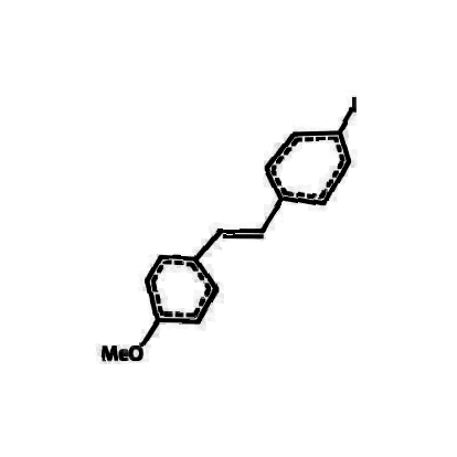 COc1ccc(C=Cc2ccc(I)cc2)cc1